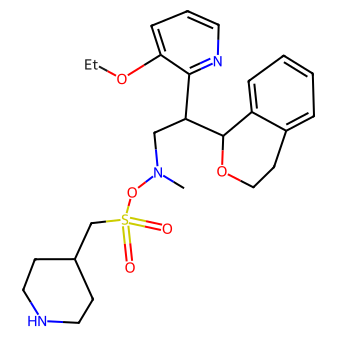 CCOc1cccnc1C(CN(C)OS(=O)(=O)CC1CCNCC1)C1OCCc2ccccc21